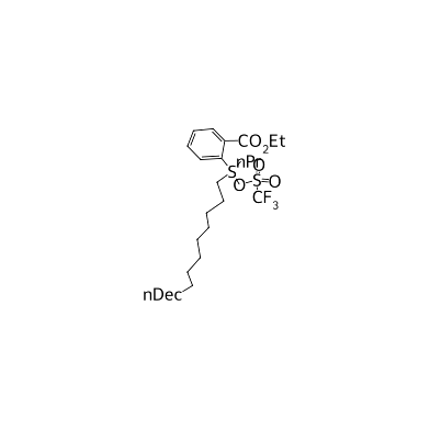 CCCCCCCCCCCCCCCCCCS(CCC)(OS(=O)(=O)C(F)(F)F)c1ccccc1C(=O)OCC